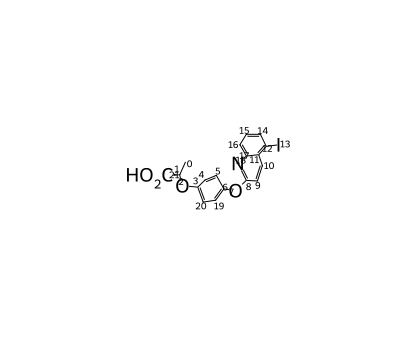 C[C@@H](Oc1ccc(Oc2ccc3c(I)cccc3n2)cc1)C(=O)O